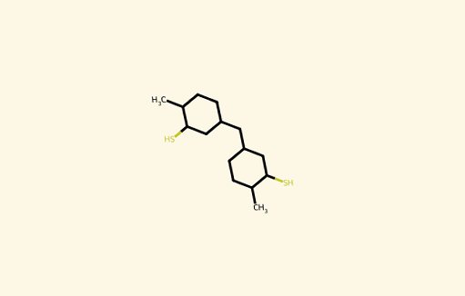 CC1CCC(CC2CCC(C)C(S)C2)CC1S